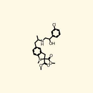 COC(=O)C1(C(=O)OC)Cc2cc(CC(C)NCC(O)c3cccc(Cl)c3)ccc2N1C